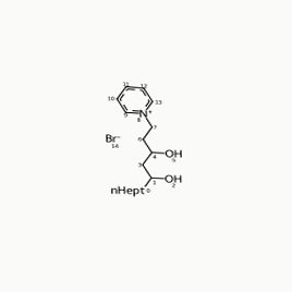 CCCCCCCC(O)CC(O)CC[n+]1ccccc1.[Br-]